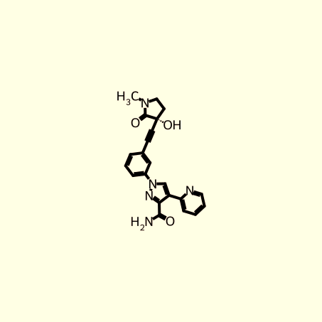 CN1CC[C@@](O)(C#Cc2cccc(-n3cc(-c4ccccn4)c(C(N)=O)n3)c2)C1=O